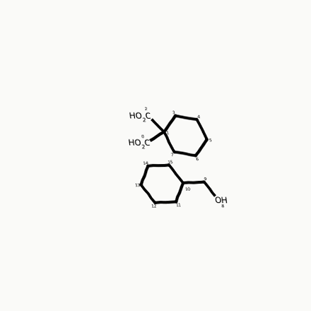 O=C(O)C1(C(=O)O)CCCCC1.OCC1CCCCC1